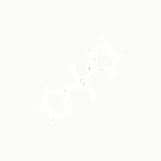 [CH3][Ti]([CH3])([C]1=CC=CC1)[C]1=CC=CC1